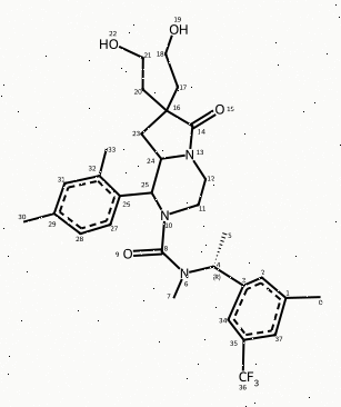 Cc1cc([C@@H](C)N(C)C(=O)N2CCN3C(=O)C(CCO)(CCO)CC3C2c2ccc(C)cc2C)cc(C(F)(F)F)c1